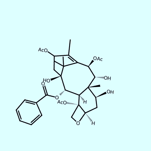 CC(=O)OC1C[C@@]2(O)[C@@H](OC(=O)c3ccccc3)[C@@H]3[C@]4(OC(C)=O)CO[C@@H]4C[C@H](O)[C@@]3(C)[C@@H](O)[C@H](OC(C)=O)C(=C1C)C2(C)C